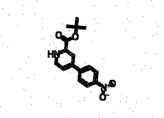 CC(C)(C)OC(=O)C1CC(c2ccc([N+](=O)[O-])cc2)=CCN1